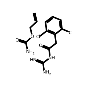 C=CCOC(N)=O.N=C(N)NC(=O)Cc1c(Cl)cccc1Cl